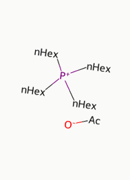 CC(=O)[O-].CCCCCC[P+](CCCCCC)(CCCCCC)CCCCCC